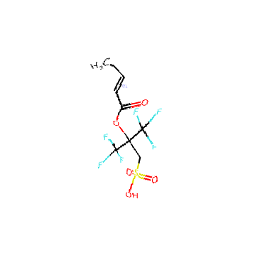 C/C=C/C(=O)OC(CS(=O)(=O)O)(C(F)(F)F)C(F)(F)F